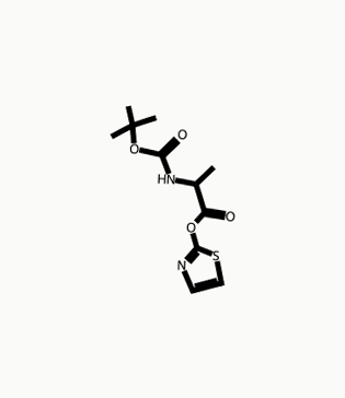 CC(NC(=O)OC(C)(C)C)C(=O)Oc1nccs1